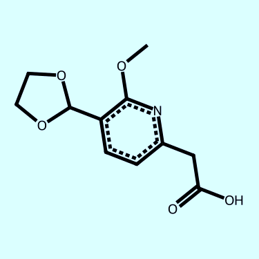 COc1nc(CC(=O)O)ccc1C1OCCO1